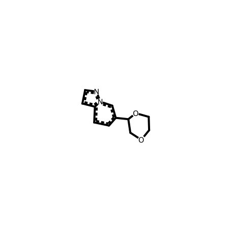 c1cc2ccc(C3COCCO3)cn2n1